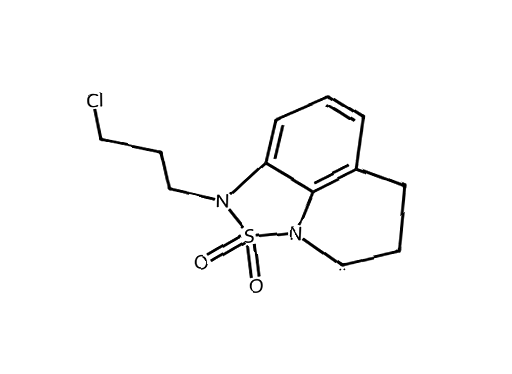 O=S1(=O)N2[C]CCc3cccc(c32)N1CCCCl